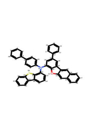 c1ccc(-c2ccc(N(c3cc(-c4ccccc4)cc4c3oc3cc5ccccc5cc34)c3cccc4c3sc3ccccc34)cc2)cc1